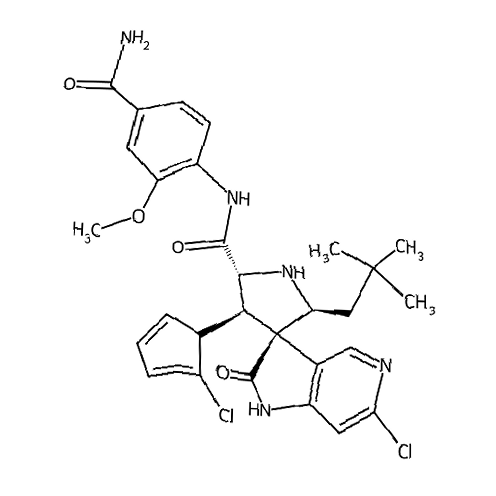 COc1cc(C(N)=O)ccc1NC(=O)[C@@H]1N[C@@H](CC(C)(C)C)[C@@]2(C(=O)Nc3cc(Cl)ncc32)[C@H]1C1C=CC=C1Cl